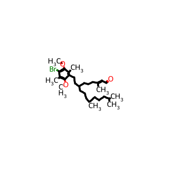 COc1c(C)c(CCC(CCC/C(C)=C/C=O)CCCC(C)CCCC(C)C)c(OC)c(C)c1Br